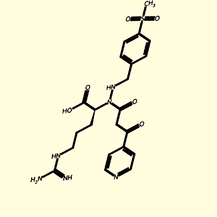 CS(=O)(=O)c1ccc(CNN(C(=O)CC(=O)c2ccncc2)[C@@H](CCCNC(=N)N)C(=O)O)cc1